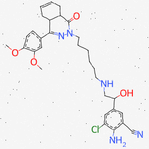 COc1ccc(C2=NN(CCCCCCNCC(O)c3cc(Cl)c(N)c(C#N)c3)C(=O)C3CC=CCC23)cc1OC